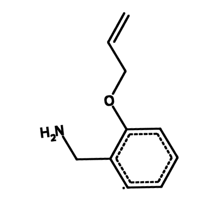 C=CCOc1ccc[c]c1CN